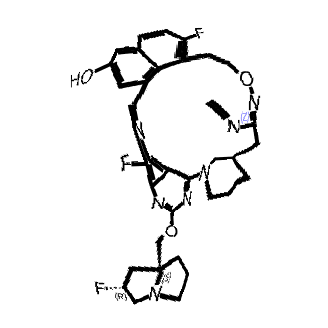 C=N/C1=N\OCCc2c(F)ccc3cc(O)cc(c23)-c2ncc3c(nc(OC[C@@]45CCCN4C[C@H](F)C5)nc3c2F)N2CCCC(C1)C2